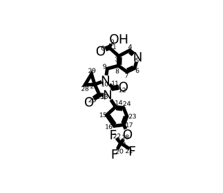 O=C(O)c1cnccc1CN1C(=O)N(c2ccc(OC(F)(F)F)cc2)C(=O)C12CC2